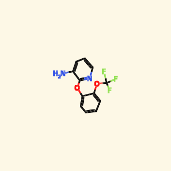 Nc1cccnc1Oc1ccccc1OC(F)(F)F